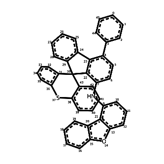 c1ccc(-c2ccc(Nc3cccc4oc5ccccc5c34)c3c2-c2ccccc2C32c3ccccc3Sc3ccccc32)cc1